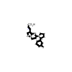 O=C(O)/C=C/c1cnn2ccc(N3CCCC3c3cccc(F)c3)nc12